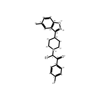 CCC(C(=O)c1ccc(F)cc1)N1CCC(c2noc3ccc(C)cc23)CC1